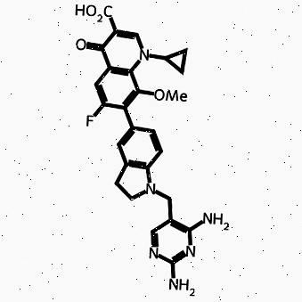 COc1c(-c2ccc3c(c2)CCN3Cc2cnc(N)nc2N)c(F)cc2c(=O)c(C(=O)O)cn(C3CC3)c12